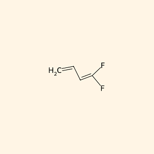 C=CC=C(F)F